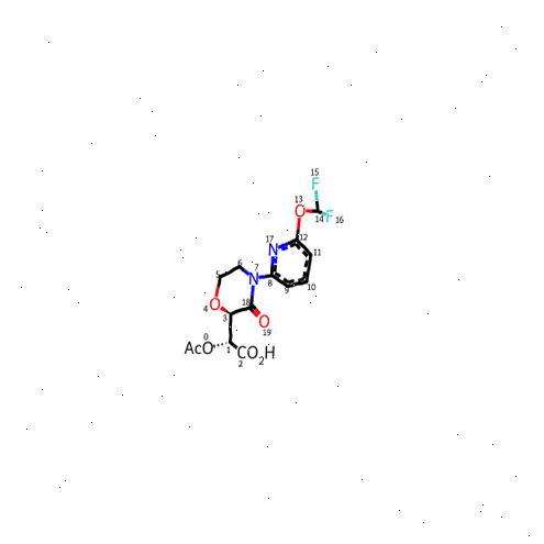 CC(=O)O[C@@H](C(=O)O)[C@H]1OCCN(c2cccc(OC(F)F)n2)C1=O